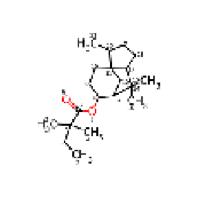 CCC(C)(C)C(=O)OC1CCC23CC1C(C)(C)C2CCC3C